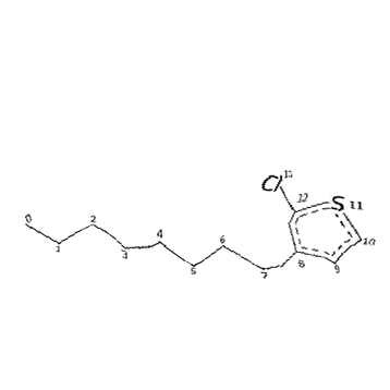 CCCCCCCCc1ccsc1Cl